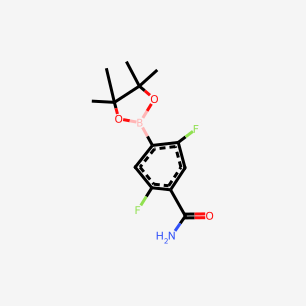 CC1(C)OB(c2cc(F)c(C(N)=O)cc2F)OC1(C)C